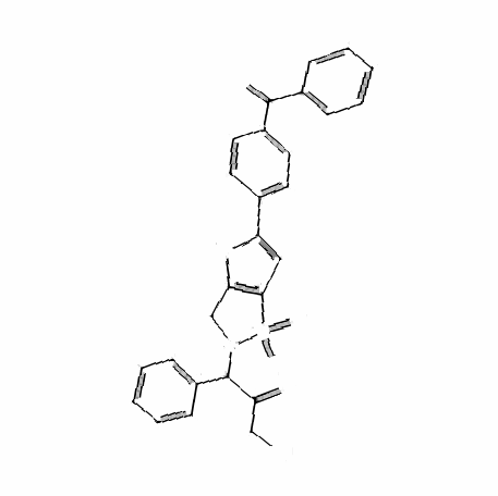 O=C(c1ccccc1)c1ccc(-c2cc3c(s2)CN(C(C(=O)CO)c2ccccc2)S3(=O)=O)cc1